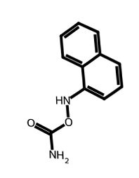 NC(=O)ONc1cccc2ccccc12